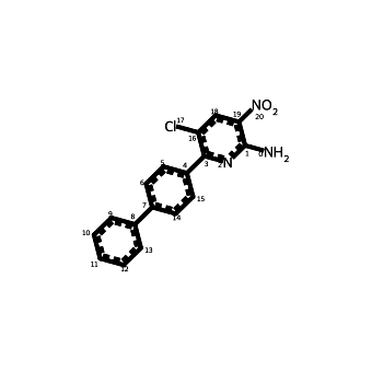 Nc1nc(-c2ccc(-c3ccccc3)cc2)c(Cl)cc1[N+](=O)[O-]